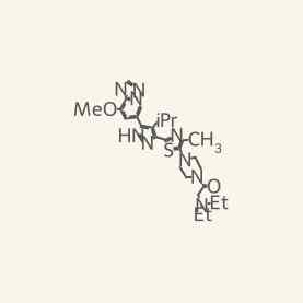 CCN(CC)CC(=O)N1CCN(c2sc(-c3n[nH]c(-c4cc(OC)c5ncnn5c4)c3C(C)C)nc2C)CC1